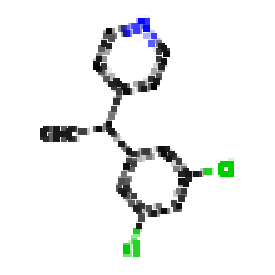 O=CC(c1ccncc1)c1cc(Cl)cc(Cl)c1